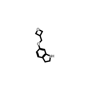 c1cc2c(cc1OCC1COC1)NCC2